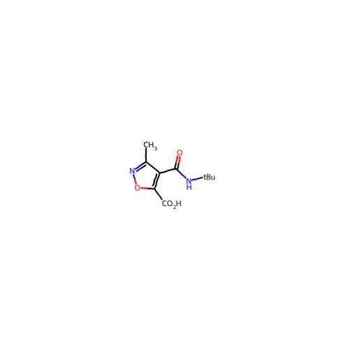 Cc1noc(C(=O)O)c1C(=O)NC(C)(C)C